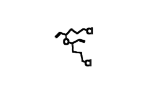 C=CC(CCCCl)OC(C=C)CCCCl